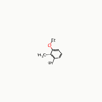 CCOc1cccc([C](C)C)c1C